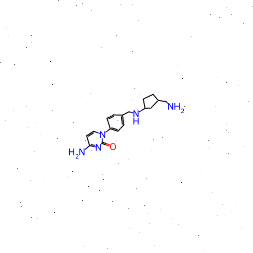 NCC1CCC(NCc2ccc(-n3ccc(N)nc3=O)cc2)C1